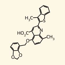 Cc1c(-c2cc(C(=O)O)c3c(OCc4cccc5c4OCO5)ccc(C)c3n2)sc2ccccc12